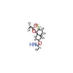 C=CC(=N)Oc1ccc2c(OC(=O)C(=C)C)c(F)ccc2c1